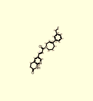 O=C1CCc2cc(/C=C/C(=O)N3CC=C(c4cccc(CF)c4)CCC3)cnc2N1